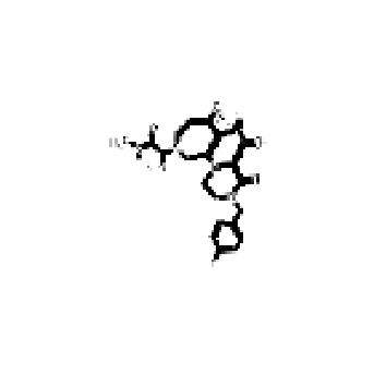 CC1CCN(C(=O)C(=O)N(C)C)Cc2c1c(=O)c(O)c1n2CCN(Cc2ccc(F)cc2)C1=O